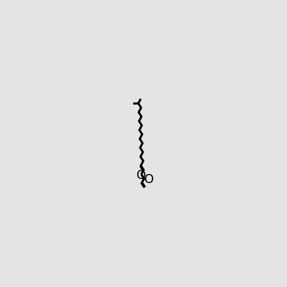 C=CC(=O)OC=CCCCCCCCCCCCCCC(C)C